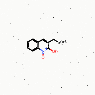 CCCCCCCCCc1cc2ccccc2[n+]([O-])c1O